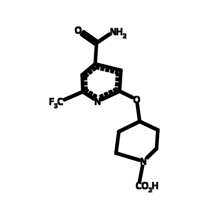 NC(=O)c1cc(OC2CCN(C(=O)O)CC2)nc(C(F)(F)F)c1